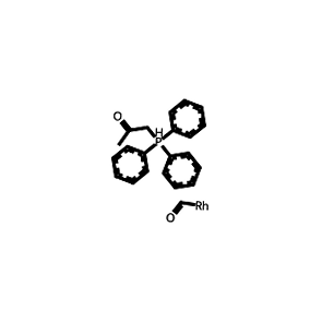 CC(=O)C[PH](c1ccccc1)(c1ccccc1)c1ccccc1.O=[CH][Rh]